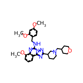 COc1ccc(CNc2nc3c(OC)cccc3c3nc(C4CCCN(CC5CCOCC5)C4)nn23)c(OC)c1